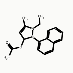 CCN1C(C)=CC(OC(C)=O)N1c1cccc2ccccc12